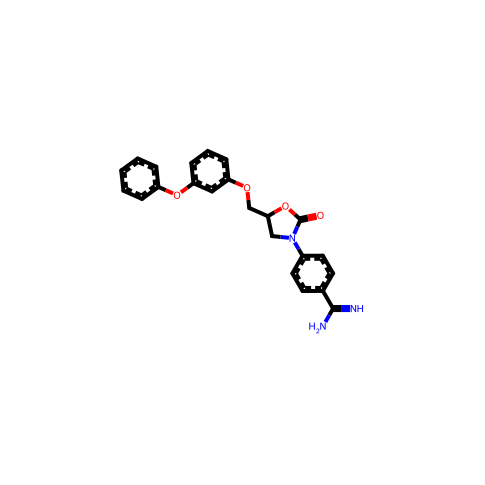 N=C(N)c1ccc(N2CC(COc3cccc(Oc4ccccc4)c3)OC2=O)cc1